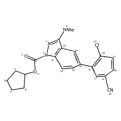 CNc1nn(C(=O)OC2CCCC2)c2ccc(-c3cc(C#N)ccc3Cl)cc12